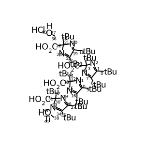 CC(C)(C)C1=NC(C(=O)O)(C(C)(C)C)N=C1C(C)(C)C.CC(C)(C)C1=NC(C(=O)O)(C(C)(C)C)N=C1C(C)(C)C.CC(C)(C)C1=NC(C(=O)O)(C(C)(C)C)N=C1C(C)(C)C.CC(C)(C)C1=NC(C(=O)O)(C(C)(C)C)N=C1C(C)(C)C.CO.CO.Cl.[Ti]